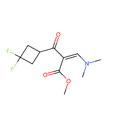 COC(=O)C(=CN(C)C)C(=O)C1CC(F)(F)C1